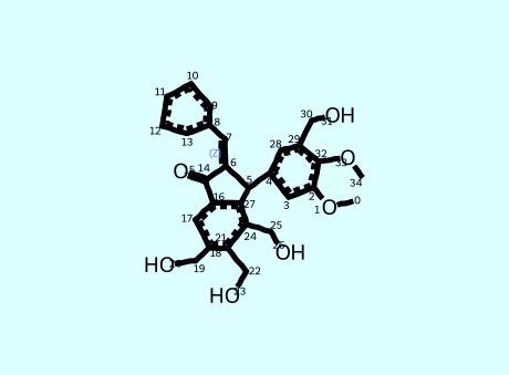 COc1cc(C2/C(=C/c3ccccc3)C(=O)c3cc(CO)c(CO)c(CO)c32)cc(CO)c1OC